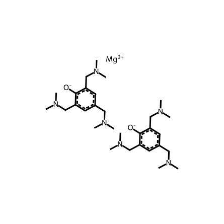 CN(C)Cc1cc(CN(C)C)c([O-])c(CN(C)C)c1.CN(C)Cc1cc(CN(C)C)c([O-])c(CN(C)C)c1.[Mg+2]